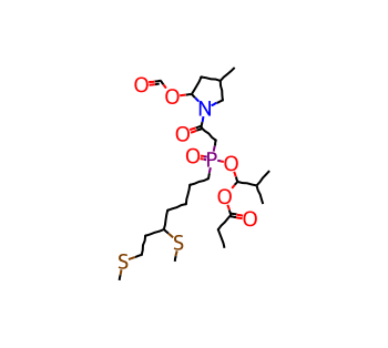 CCC(=O)OC(OP(=O)(CCCCC(CCSC)SC)CC(=O)N1CC(C)CC1OC=O)C(C)C